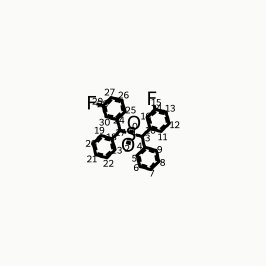 O=S(=O)(C(c1ccccc1)c1cccc(F)c1)C(c1ccccc1)c1cccc(F)c1